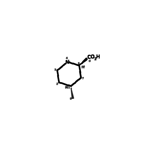 C[C@@H]1CC[N][C@@H](C(=O)O)C1